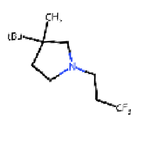 CC(C)(C)C1(C)CCN(CCC(F)(F)F)C1